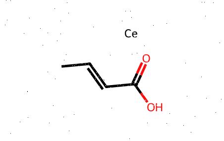 C/C=C/C(=O)O.[Ce]